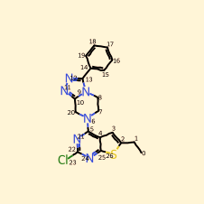 CCc1cc2c(N3CCn4c(nnc4-c4ccccc4)C3)nc(Cl)nc2s1